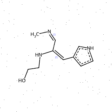 C/N=C\C(=C/c1cc[nH]c1)NCCO